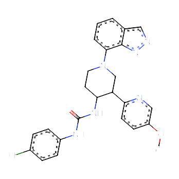 COc1ccc(C2CN(c3cccc4cn[nH]c34)CCC2NC(=O)Nc2ccc(Cl)cc2)nc1